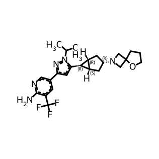 CC(C)n1nc(-c2cnc(N)c(C(F)(F)F)c2)cc1[C@H]1[C@@H]2C[C@H](N3CC4(CCCO4)C3)C[C@@H]21